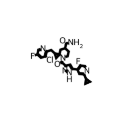 NC(=O)C1CCN(C(=O)c2cc(-c3cc(C4CC4)ncc3F)[nH]n2)C2(C1)CC2Cc1ncc(F)cc1Cl